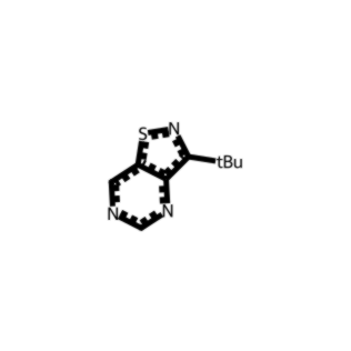 CC(C)(C)c1nsc2cncnc12